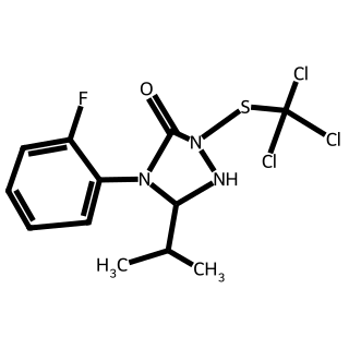 CC(C)C1NN(SC(Cl)(Cl)Cl)C(=O)N1c1ccccc1F